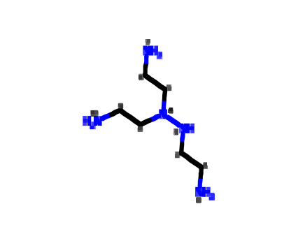 NCCNN(CCN)CCN